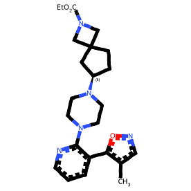 CCOC(=O)N1CC2(CC[C@@H](N3CCN(c4ncccc4-c4oncc4C)CC3)C2)C1